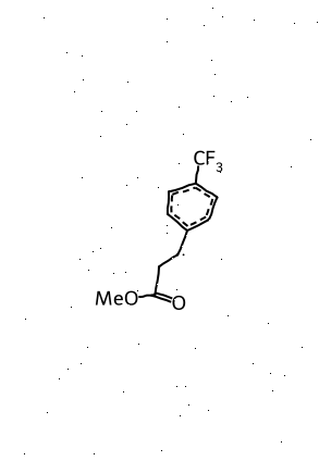 COC(=O)C[CH]c1ccc(C(F)(F)F)cc1